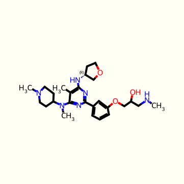 CNCC(O)COc1cccc(-c2nc(N[C@@H]3CCOC3)c(C)c(N(C)C3CCN(C)CC3)n2)c1